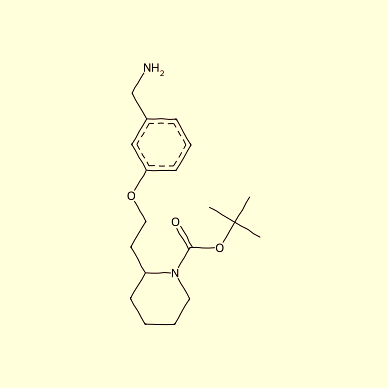 CC(C)(C)OC(=O)N1CCCCC1CCOc1cccc(CN)c1